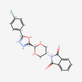 O=C1c2ccccc2C(=O)N1[C@H]1CO[C@H](c2nnc(-c3ccc(Cl)cc3)o2)OC1